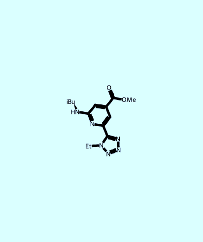 CC[C@H](C)Nc1cc(C(=O)OC)cc(-c2nnnn2CC)n1